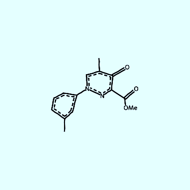 COC(=O)c1nn(-c2cccc(C)c2)cc(C)c1=O